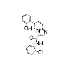 O=C(Nc1ccccc1Cl)c1cnc2ccc(-c3ccccc3O)cn12